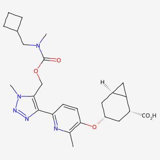 Cc1nc(-c2nnn(C)c2COC(=O)N(C)CC2CCC2)ccc1O[C@@H]1C[C@H]2CC2[C@H](C(=O)O)C1